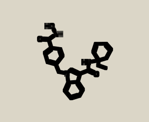 CCC1(NC(=O)c2cn(Cc3ccc(C(=O)NO)cc3)c3ccccc23)C=CC=CC1